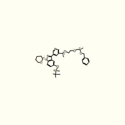 C[C@H](COCCO[C@@H](C)c1cncc(-c2nn([C@H]3CCCCO3)c3ccc(O[Si](C)(C)C(C)(C)C)cc23)c1)OCc1ccccc1